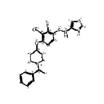 CC(c1ccccc1)N1CCC(Oc2ccc(SNc3cscn3)c(F)c2Cl)CC1